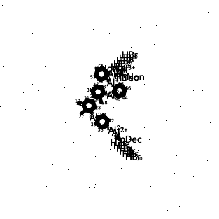 Br.Br.Br.Br.Br.Br.Br.Br.Br.Br.Br.CCCCCCCCCC[CH2][Al+2].CCCCCCCCC[CH2][Al+2].CCCCCCCC[CH2][Al+][CH2]CCCCCCCC.Cc1ccc[c]([Al+2])c1C.Cc1cccc[c]1[Al+2].[Al+2][c]1ccccc1.[Al+3].c1cc[c]([Al+][c]2ccccc2)cc1